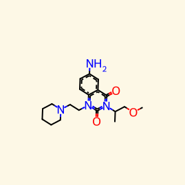 COCC(C)n1c(=O)c2cc(N)ccc2n(CCN2CCCCC2)c1=O